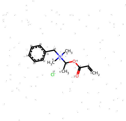 C=CC(=O)OC(C)[N+](C)(C)Cc1ccccc1.[Cl-]